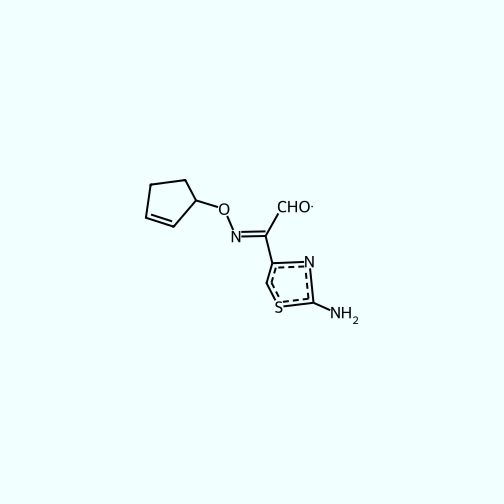 Nc1nc(C([C]=O)=NOC2C=CCC2)cs1